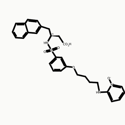 O=C(O)C[C@H](Cc1ccc2ccccc2c1)NS(=O)(=O)c1cccc(OCCCCNc2cccc[n+]2[O-])c1